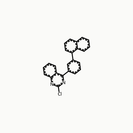 Clc1nc(-c2cccc(-c3cccc4ccccc34)c2)c2ccccc2n1